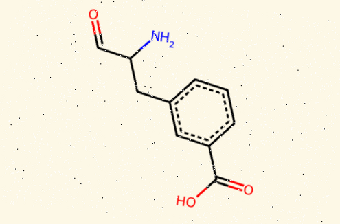 NC(C=O)Cc1cccc(C(=O)O)c1